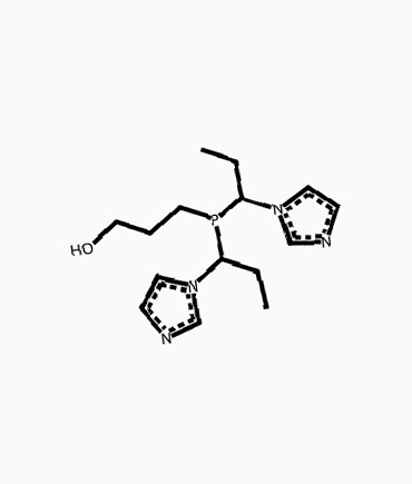 CCC(n1ccnc1)P(CCCO)C(CC)n1ccnc1